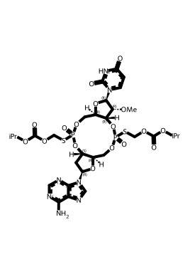 CO[C@@H]1[C@@H]2OP(=O)(SCOC(=O)OC(C)C)OC[C@H]3O[C@@H](n4cnc5c(N)ncnc54)C[C@@H]3OP(=O)(SCOC(=O)OC(C)C)OC[C@H]2O[C@H]1n1ccc(=O)[nH]c1=O